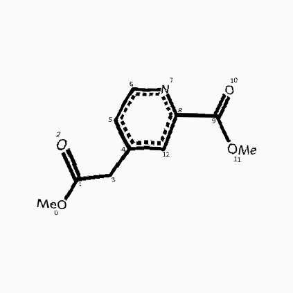 COC(=O)Cc1ccnc(C(=O)OC)c1